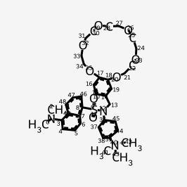 CN(C)c1cccc2c(S(=O)(=O)N(Cc3ccc4c(c3)OCCOCCOCCOCCOCCO4)c3ccc([N+](C)(C)C)cc3)cccc12